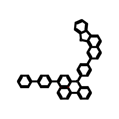 c1ccc(-c2ccc(-c3ccc(N(c4ccc(-c5ccc6ccc7c8ccccc8oc7c6c5)cc4)c4ccccc4-c4ccccc4)cc3)cc2)cc1